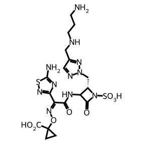 NCCCNCc1cnn(C[C@H]2C(NC(=O)/C(=N\OC3(C(=O)O)CC3)c3nsc(N)n3)C(=O)N2S(=O)(=O)O)n1